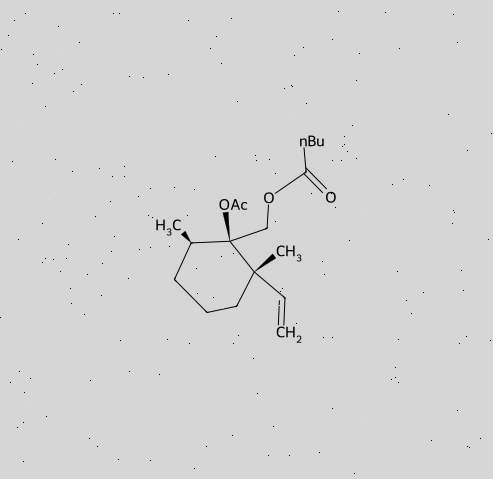 C=C[C@]1(C)CCC[C@@H](C)[C@@]1(COC(=O)CCCC)OC(C)=O